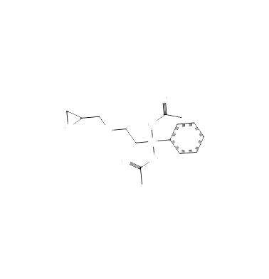 CC(=O)O[Si](CCOCC1CO1)(OC(C)=O)c1ccccc1